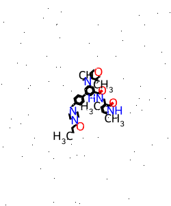 CCCC(=O)N1CCN(Cc2ccc(-c3cc(C(=O)NCc4c(C)cc(C)[nH]c4=O)c(C)c(N(CC)C4CCOCC4)c3)cc2)CC1